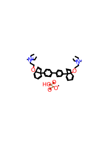 CC[N+](C)(CC)CCOC12C=CC=CC1(c1ccc(-c3ccc(C45C=CC=CC4(OCC[N+](C)(CC)CC)C=C5)cc3)cc1)C=C2.COS(=O)(=O)O